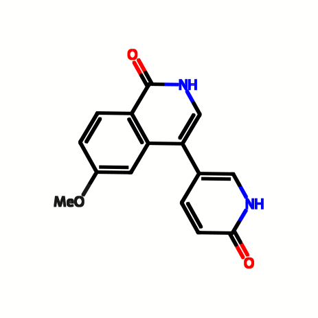 COc1ccc2c(=O)[nH]cc(-c3ccc(=O)[nH]c3)c2c1